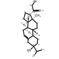 C[C@]12CC[C@H]3[C@@H](CC=C4C[C@@](O)(C(F)F)CC[C@@H]43)[C@@H]1CC[C@@H]2C(=O)CBr